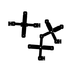 [O]=[Cr](=[O])([OH])[O][Cr](=[O])(=[O])[OH].[O]=[Mo](=[O])([OH])[OH]